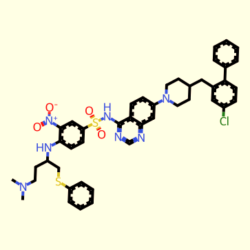 CN(C)CCC(CSc1ccccc1)Nc1ccc(S(=O)(=O)Nc2ncnc3cc(N4CCC(Cc5cc(Cl)ccc5-c5ccccc5)CC4)ccc23)cc1[N+](=O)[O-]